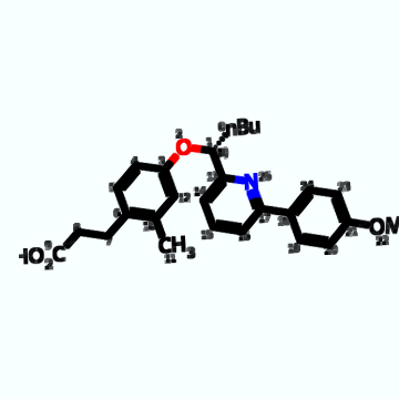 CCCC[C@@H](Oc1ccc(CCC(=O)O)c(C)c1)c1cccc(-c2ccc(OC)cc2)n1